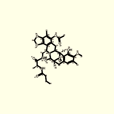 CCCC(=O)N[C@@H](C)C(=O)NC[C@H]1c2c(c(OC(C)=O)c(C)c3c2OCO3)CC2[C@H]3c4c(cc(C)c(OC)c4O)C[C@H](C(O)N21)N3C